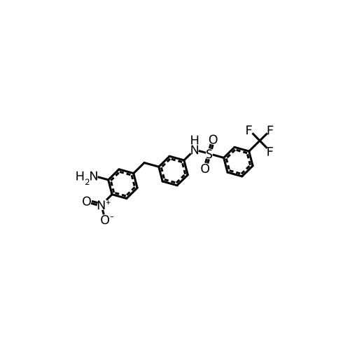 Nc1cc(Cc2cccc(NS(=O)(=O)c3cccc(C(F)(F)F)c3)c2)ccc1[N+](=O)[O-]